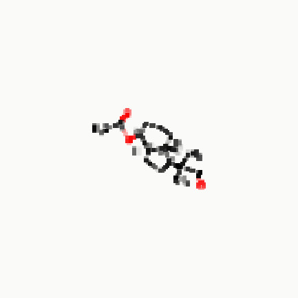 CC(=O)O[C@H]1CCC[C@]2(C)[C@@H](C(C)(C)C=O)CC[C@@H]12